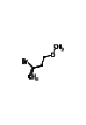 C=C(Br)CCOC